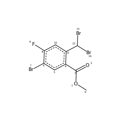 COC(=O)c1cc(Br)c(F)cc1C(Br)Br